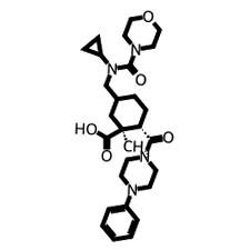 C[C@]1(C(=O)O)CC(CN(C(=O)N2CCOCC2)C2CC2)CC[C@@H]1C(=O)N1CCN(c2ccccc2)CC1